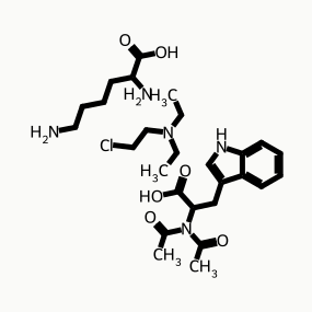 CC(=O)N(C(C)=O)C(Cc1c[nH]c2ccccc12)C(=O)O.CCN(CC)CCCl.NCCCCC(N)C(=O)O